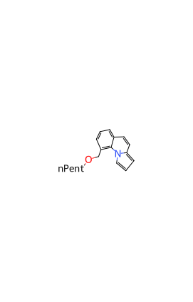 CCCCCOCc1cccc2ccc3cccn3c12